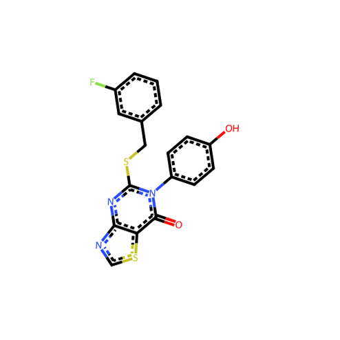 O=c1c2scnc2nc(SCc2cccc(F)c2)n1-c1ccc(O)cc1